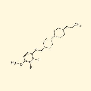 CCC[C@H]1CC[C@H]([C@H]2CC[C@H](COc3ccc(OC)c(F)c3F)CC2)CC1